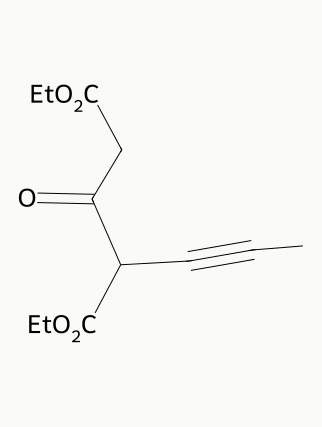 CC#CC(C(=O)CC(=O)OCC)C(=O)OCC